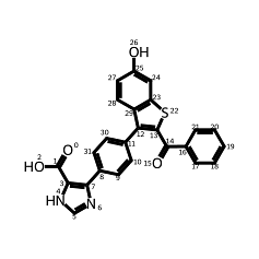 O=C(O)c1[nH]cnc1-c1ccc(-c2c(C(=O)c3ccccc3)sc3cc(O)ccc23)cc1